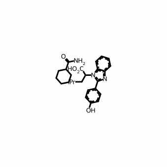 CC(C)CC(C(=O)O)n1c(-c2ccc(O)cc2)nc2ccccc21.NC(=O)C1CCCCC1